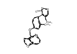 Cc1cc(Oc2nccc3occc23)ccc1-c1c(C)cnnc1Cl